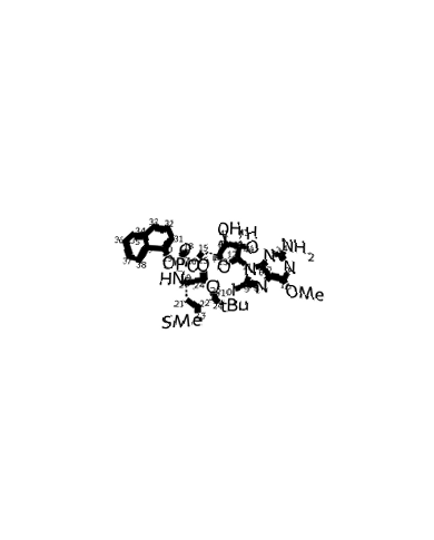 COc1nc(N)nc2c1nc(I)n2C1O[C@H](COP(=O)(N[C@@H](CCSC)C(=O)OCC(C)(C)C)Oc2cccc3ccccc23)[C@@H](O)[C@@]1(C)O